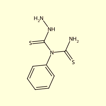 NNC(=S)N(C(N)=S)c1ccccc1